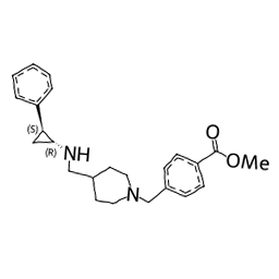 COC(=O)c1ccc(CN2CCC(CN[C@@H]3C[C@H]3c3ccccc3)CC2)cc1